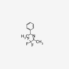 CC(=N[C@@H](C)c1ccccc1)C(F)(F)F